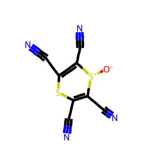 N#CC1=C(C#N)[S+]([O-])C(C#N)=C(C#N)S1